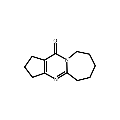 O=c1c2c(nc3n1CCCCC3)CCC2